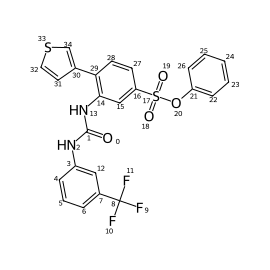 O=C(Nc1cccc(C(F)(F)F)c1)Nc1cc(S(=O)(=O)Oc2ccccc2)ccc1-c1ccsc1